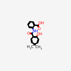 CC1(C)C=CC(O)=C(C(=O)Nc2ccccc2C(=O)O)C=C1